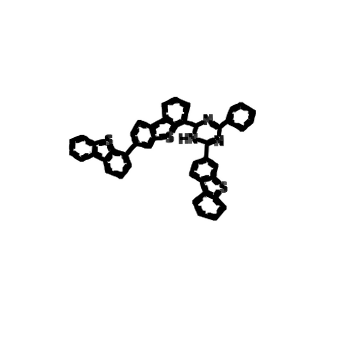 c1ccc(C2=NC(c3cccc4c3sc3cc(-c5cccc6c5sc5ccccc56)ccc34)NC(c3ccc4c(c3)sc3ccccc34)=N2)cc1